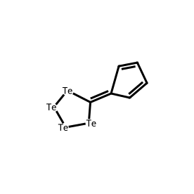 C1=CC(=C2[Te][Te][Te][Te]2)C=C1